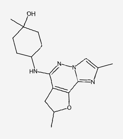 Cc1cn2nc(NC3CCC(C)(O)CC3)c3c(c2n1)OC(C)C3